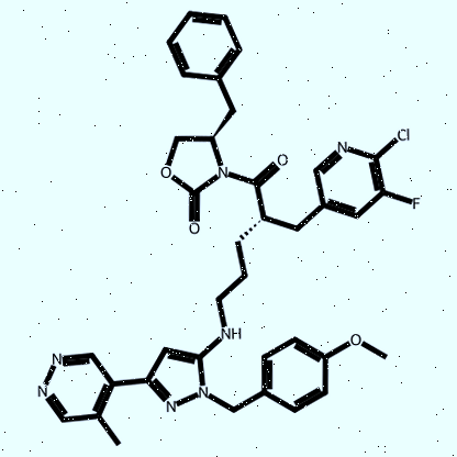 COc1ccc(Cn2nc(-c3cnncc3C)cc2NCCC[C@@H](Cc2cnc(Cl)c(F)c2)C(=O)N2C(=O)OC[C@H]2Cc2ccccc2)cc1